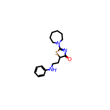 O=C1N=C(N2CCCCCC2)SC1CCNc1ccccc1